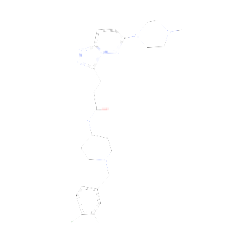 CN1CCN(c2ccc3nnc(CCC(=O)NC4CCN(Cc5ccc(Cl)c(Cl)c5)CC4)n3n2)CC1